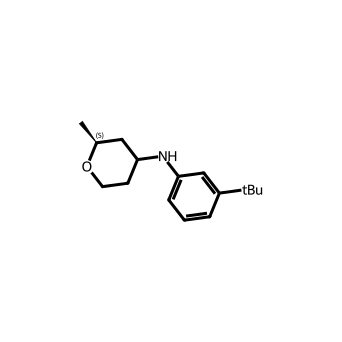 C[C@H]1CC(Nc2cccc(C(C)(C)C)c2)CCO1